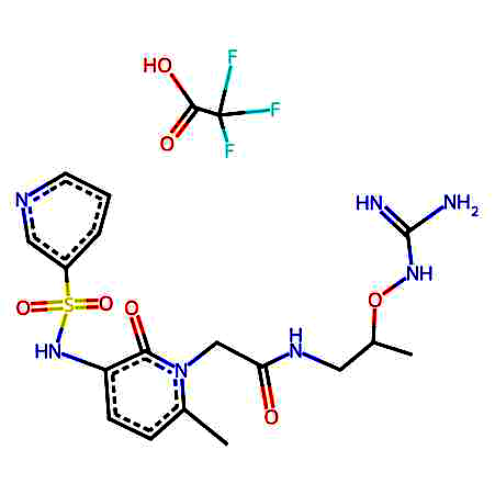 Cc1ccc(NS(=O)(=O)c2cccnc2)c(=O)n1CC(=O)NCC(C)ONC(=N)N.O=C(O)C(F)(F)F